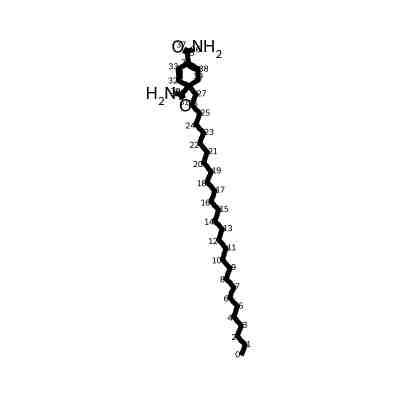 CCCCCCCCCCCCCCCCCCCCCCCCCCCCC1(C(N)=O)C=CC(C(N)=O)=CC1